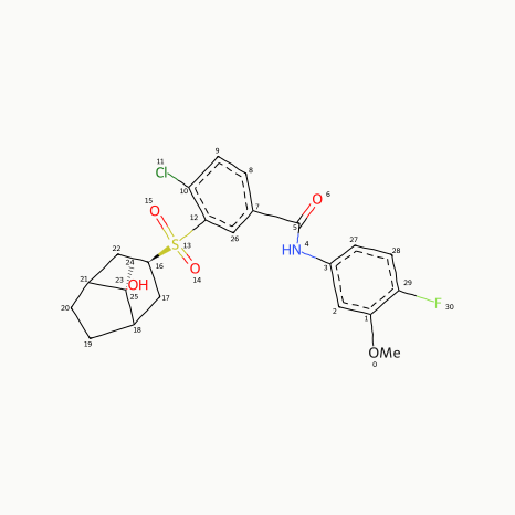 COc1cc(NC(=O)c2ccc(Cl)c(S(=O)(=O)[C@H]3CC4CCC(C3)[C@@]4(C)O)c2)ccc1F